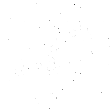 Cc1cc(-c2ncnn3cc(-c4ccc(CN5CCC(c6ccc(NC7CCC(=O)NC7=O)cc6)CC5)cc4)cc23)ccc1CNC(=O)c1nc(C(C)(C)C)no1